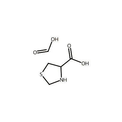 O=C(O)C1CSCN1.O=CO